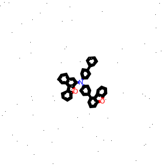 c1ccc(-c2ccc(N(c3ccc(-c4cccc5oc6ccccc6c45)cc3)c3cc4ccccc4c4c3oc3ccccc34)cc2)cc1